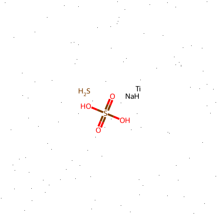 O=S(=O)(O)O.S.[NaH].[Ti]